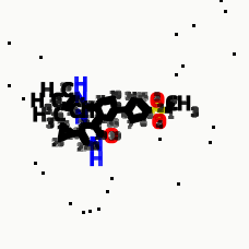 CCS(=O)(=O)c1ccc(-c2ccc3c(NC(C)C(C)(C)C)nc4c(C5CC5)c[nH]c(=O)c4c3c2)cc1